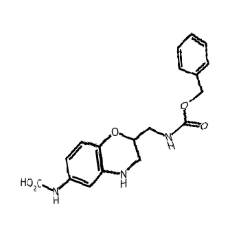 O=C(O)Nc1ccc2c(c1)NCC(CNC(=O)OCc1ccccc1)O2